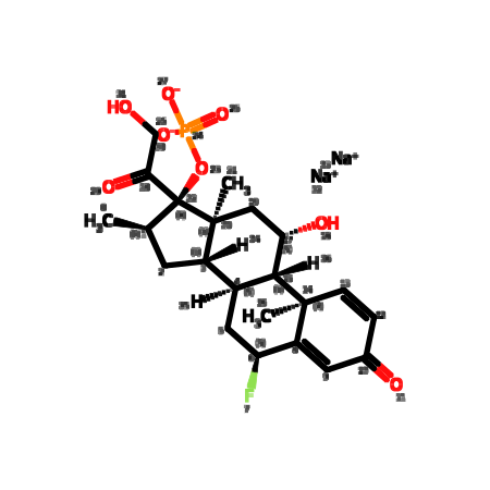 C[C@@H]1C[C@H]2[C@@H]3C[C@H](F)C4=CC(=O)C=C[C@]4(C)[C@H]3[C@@H](O)C[C@]2(C)[C@@]1(OP(=O)([O-])[O-])C(=O)CO.[Na+].[Na+]